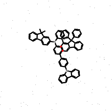 CC1(C)c2ccccc2-c2ccc(N(c3ccc(-c4ccc(-n5c6ccccc6c6ccccc65)cc4)cc3)c3ccccc3-c3cccc4c3C(c3ccccc3)(c3ccccc3)c3ccccc3-4)cc21